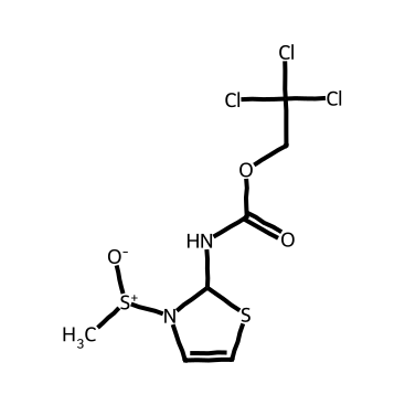 C[S+]([O-])N1C=CSC1NC(=O)OCC(Cl)(Cl)Cl